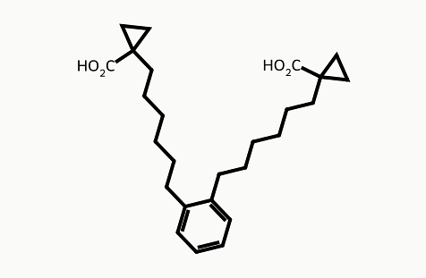 O=C(O)C1(CCCCCCc2ccccc2CCCCCCC2(C(=O)O)CC2)CC1